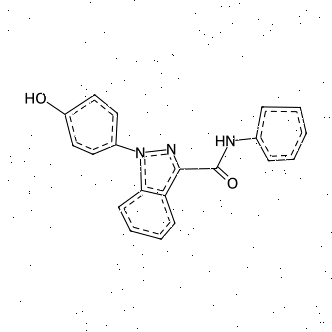 O=C(Nc1ccccc1)c1nn(-c2ccc(O)cc2)c2ccccc12